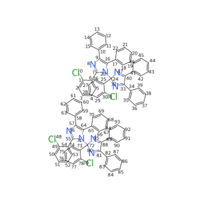 Clc1ccccc1-c1nc(-c2ccccc2)c(-c2ccccc2)n1C1(c2ccccc2Cl)N=C(c2ccccc2)C(c2ccccc2)=N1.Clc1ccccc1-c1nc(-c2ccccc2)c(-c2ccccc2)n1C1(c2ccccc2Cl)N=C(c2ccccc2)C(c2ccccc2)=N1